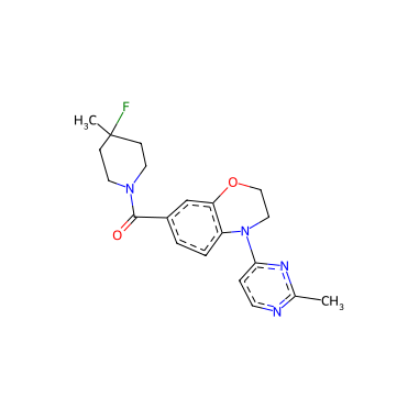 Cc1nccc(N2CCOc3cc(C(=O)N4CCC(C)(F)CC4)ccc32)n1